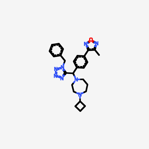 Cc1nonc1-c1ccc(C(c2nnnn2Cc2ccccc2)N2CCCN(C3CCC3)CC2)cc1